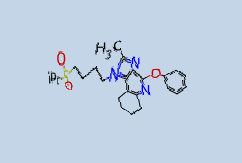 Cc1nc2c(Oc3ccccc3)nc3c(c2n1CCCCS(=O)(=O)C(C)C)CCCC3